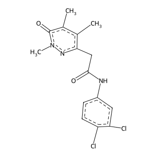 Cc1c(CC(=O)Nc2ccc(Cl)c(Cl)c2)nn(C)c(=O)c1C